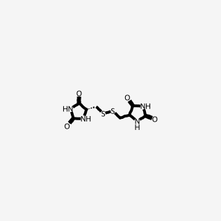 O=C1NC(=O)C(CSSC[C@@H]2NC(=O)NC2=O)N1